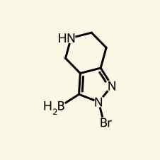 Bc1c2c(nn1Br)CCNC2